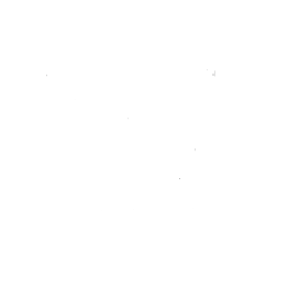 Cc1c(C)c2c(c(OCC[Si](C)(C)C)c1CC=O)C(=O)OC2